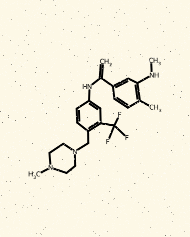 C=C(Nc1ccc(CN2CCN(C)CC2)c(C(F)(F)F)c1)c1ccc(C)c(NC)c1